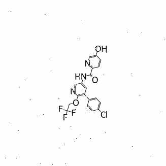 O=C(Nc1cnc(OCC(F)(F)F)c(-c2ccc(Cl)cc2)c1)c1ccc(O)cn1